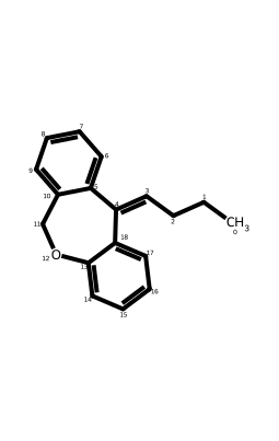 CCC/C=C1/c2ccccc2COc2ccccc21